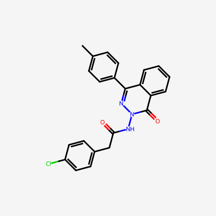 Cc1ccc(-c2nn(NC(=O)Cc3ccc(Cl)cc3)c(=O)c3ccccc23)cc1